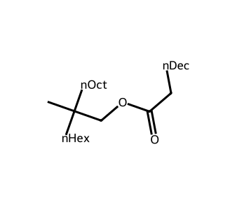 CCCCCCCCCCCC(=O)OCC(C)(CCCCCC)CCCCCCCC